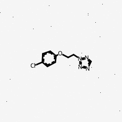 Clc1ccc(OCCn2ncnn2)cc1